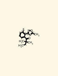 CCC(C)(C)C(=O)c1cccc(F)c1-c1noc(C)n1